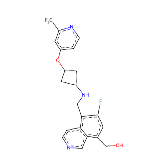 OCc1cc(F)c(CNC2CC(Oc3ccnc(C(F)(F)F)c3)C2)c2ccncc12